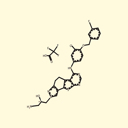 NC[C@@H](O)Cn1cc2c(n1)CCc1c-2sc2ncnc(Nc3ccc(OCc4cccc(F)c4)c(Cl)c3)c12.O=C(O)C(F)(F)F